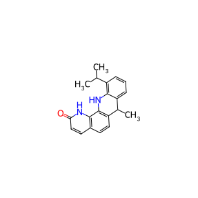 CC(C)c1cccc2c1Nc1c(ccc3ccc(=O)[nH]c13)C2C